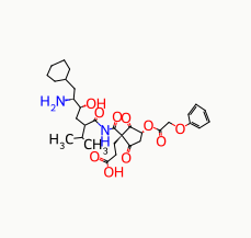 CC(C)C(C[C@H](O)[C@@H](N)CC1CCCCC1)C(=O)NC(=O)[C@@]1(CCC(=O)O)C(=O)C[C@H](OC(=O)COc2ccccc2)C1=O